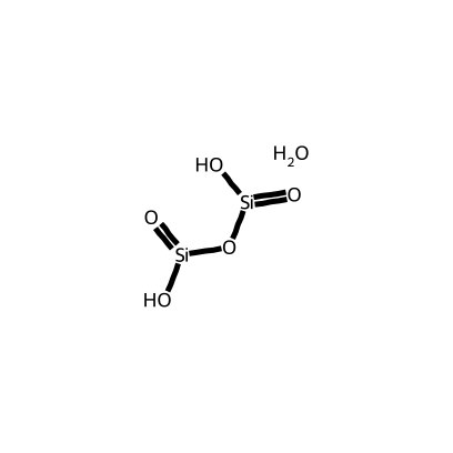 O.O=[Si](O)O[Si](=O)O